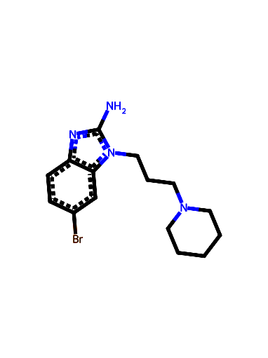 Nc1nc2ccc(Br)cc2n1CCCN1CCCCC1